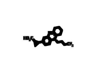 O=C(O)C1CC1c1ccc(N(CCCC(F)(F)F)C2CCCCC2)c([N+](=O)[O-])c1